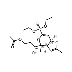 CCOP(=O)(OCC)C1=C[C@H]2OC(C)=N[C@H]2[C@](C)([C@H](O)CCOC(C)=O)O1